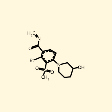 C=NC(=O)c1ccc(N2CCCC(O)C2)c(S(C)(=O)=O)c1CC